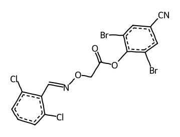 N#Cc1cc(Br)c(OC(=O)CO/N=C/c2c(Cl)cccc2Cl)c(Br)c1